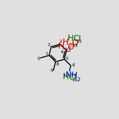 Cc1cccc(CN)c1C.Cl.Cl.O.O